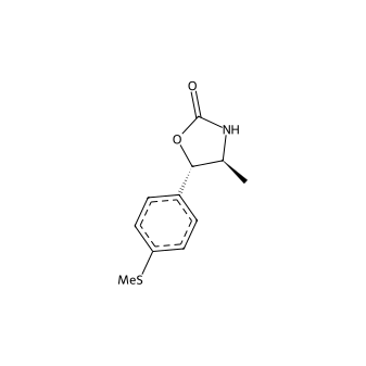 CSc1ccc([C@@H]2OC(=O)N[C@H]2C)cc1